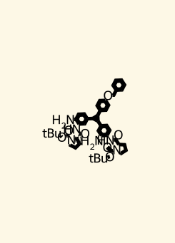 CC(C)(C)OC(=O)N1CCCC1C(=O)Nc1ccc(C2C(c3ccc(OCc4ccccc4)cc3)C2c2ccc(N)c(NC(=O)[C@@H]3CCCN3C(=O)OC(C)(C)C)c2)cc1N